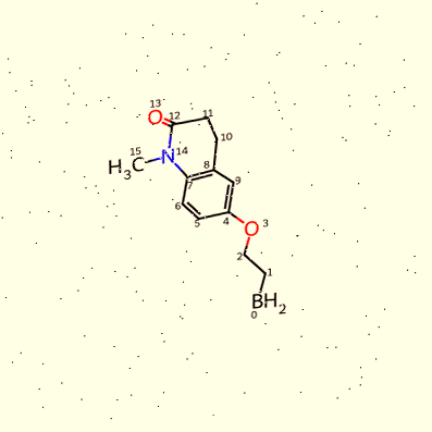 BCCOc1ccc2c(c1)CCC(=O)N2C